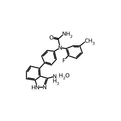 Cc1ccc(F)c(N(C(N)=O)c2ccc(-c3cccc4[nH]nc(N)c34)cc2)c1.O